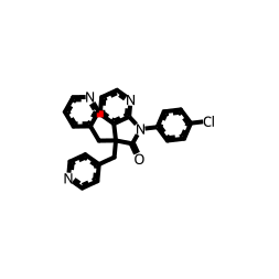 O=C1N(c2ccc(Cl)cc2)c2ncccc2C1(Cc1ccncc1)Cc1cccnc1